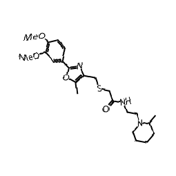 COc1ccc(-c2nc(CSCC(=O)NCCN3CCCCC3C)c(C)o2)cc1OC